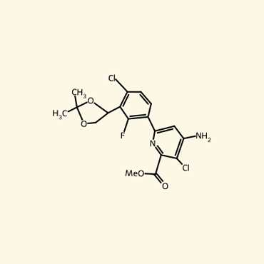 COC(=O)c1nc(-c2ccc(Cl)c(C3COC(C)(C)O3)c2F)cc(N)c1Cl